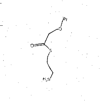 CC(C)OCC(=O)SCC[SiH3]